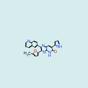 Cc1ccc(-c2nc3[nH]c(=O)c(-c4ccc[nH]4)cc3nc2-c2ccc3ncccc3c2)o1